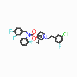 O=C(O[C@H]1C[N+]2(CCc3cc(F)cc(Cl)c3)CCC1CC2)N(Cc1ccc(F)c(F)c1)c1ccccc1F